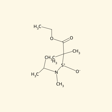 CCOC(=O)C(C)(C)[S+]([O-])N(C)C(C)C